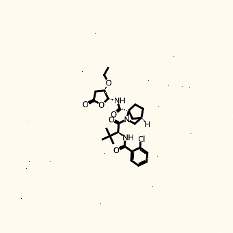 CCO[C@H]1CC(=O)O[C@H]1NC(=O)[C@@]12CC[C@@H](CN1C(=O)[C@@H](NC(=O)c1ccccc1Cl)C(C)(C)C)C2